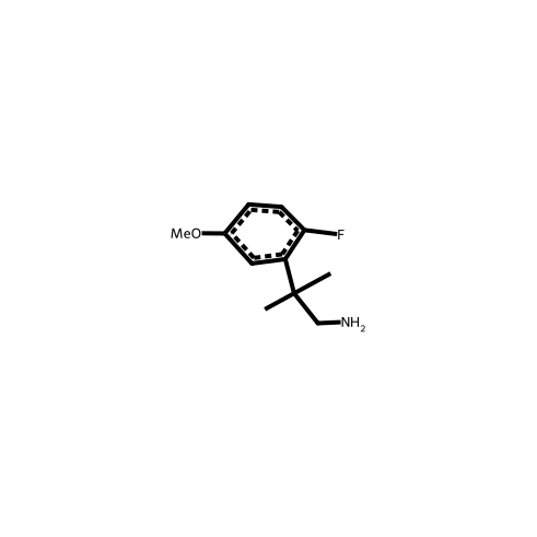 COc1ccc(F)c(C(C)(C)CN)c1